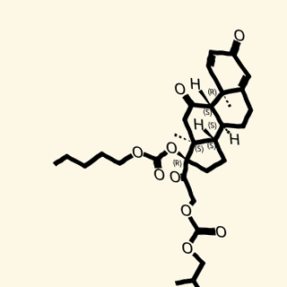 CCCCCOC(=O)O[C@]1(C(=O)COC(=O)OCC(C)C)CC[C@H]2[C@@H]3CCC4=CC(=O)C=C[C@]4(C)[C@H]3C(=O)C[C@@]21C